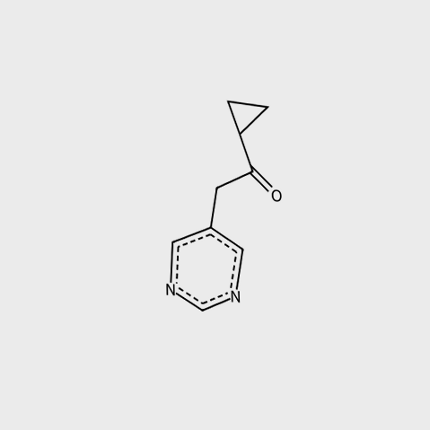 O=C(Cc1cncnc1)C1CC1